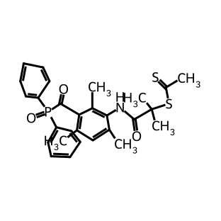 CC(=S)SC(C)(C)C(=O)Nc1c(C)cc(C)c(C(=O)P(=O)(c2ccccc2)c2ccccc2)c1C